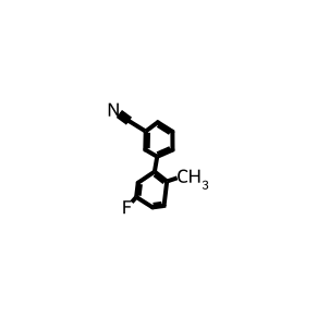 Cc1ccc(F)cc1-c1cccc(C#N)c1